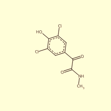 CNC(=O)C(=O)c1cc(Cl)c(O)c(Cl)c1